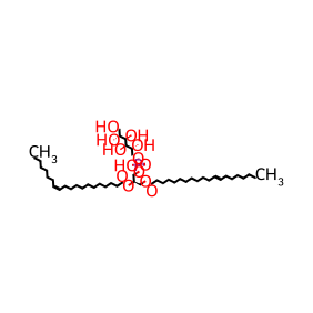 CCCCCCCC=CCCCCCCCCCCC(=O)OC[C@H](COP(=O)(O)OC[C@@H](O)[C@@H](O)[C@H](O)[C@H](O)CO)OC(=O)CCCCCCCCCC/C=C\CCCCCCC